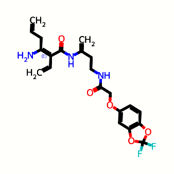 C=CC/C(N)=C(/C=C)C(=O)NC(=C)CCNC(=O)COc1ccc2c(c1)OC(F)(F)O2